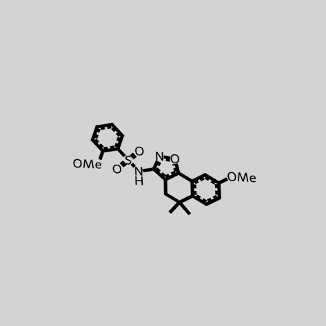 COc1ccc2c(c1)-c1onc(NS(=O)(=O)c3ccccc3OC)c1CC2(C)C